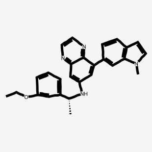 CCOc1cccc([C@@H](C)Nc2cc(-c3ccc4ccn(C)c4c3)c3nccnc3c2)c1